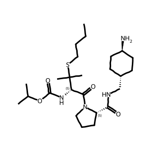 CCCCSC(C)(C)[C@@H](NC(=O)OC(C)C)C(=O)N1CCC[C@H]1C(=O)NC[C@H]1CC[C@H](N)CC1